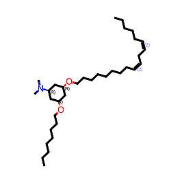 CCCCC/C=C\C/C=C\CCCCCCCCO[C@H]1C[C@H](OCCCCCCCC)C[C@@H](N(C)C)C1